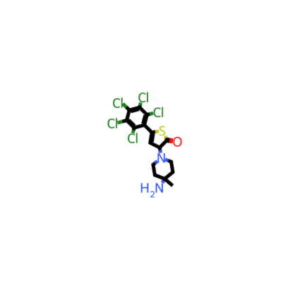 CC1(N)CCN(C2C=C(c3c(Cl)c(Cl)c(Cl)c(Cl)c3Cl)SC2=O)CC1